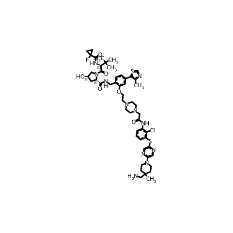 Cc1ncsc1-c1ccc(CNC(=O)[C@@H]2C[C@@H](O)CN2C(=O)[C@@H](NC(=O)C2(F)CC2)C(C)(C)C)c(OCCN2CCN(CC(=O)Nc3cccc(Sc4cnc(N5CCC(C)(CN)CC5)cn4)c3Cl)CC2)c1